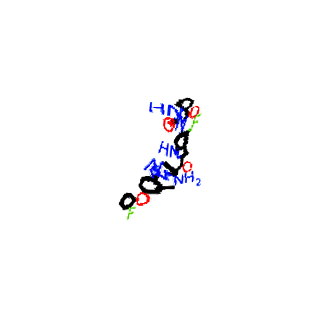 Cc1cc(Oc2ccccc2F)ccc1-n1ncc(C(=O)c2cc3cc(F)c(N4C(=O)NC5(CCCCC5)C4=O)cc3[nH]2)c1N